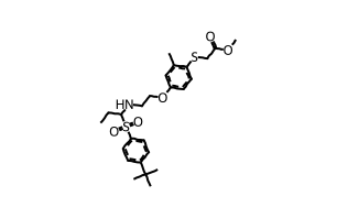 CCC(NCCOc1ccc(SCC(=O)OC)c(C)c1)S(=O)(=O)c1ccc(C(C)(C)C)cc1